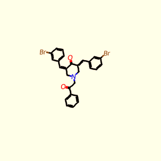 O=C1C(=Cc2cccc(Br)c2)CN(CC(=O)c2ccccc2)CC1=Cc1cccc(Br)c1